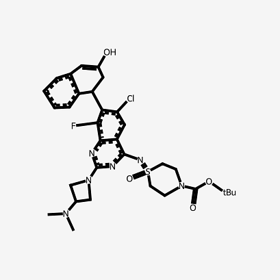 CN(C)C1CN(c2nc(N=S3(=O)CCN(C(=O)OC(C)(C)C)CC3)c3cc(Cl)c(C4CC(O)=Cc5ccccc54)c(F)c3n2)C1